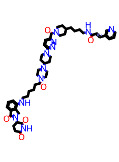 O=C(/C=C/c1cccnc1)NCCCCC1CCN(C(=O)c2ccc(N3CCC(N4CCN(C(=O)CCCCCNc5cccc6c5CN(C5CCC(=O)NC5=O)C6=O)CC4)CC3)nn2)CC1